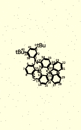 CC(C)(C)c1cc(N2c3cccc4c3B3c5c(cccc5[Si](c5ccccc5)(c5ccccc5)c5cccc2c53)S4)cc(C(C)(C)C)c1